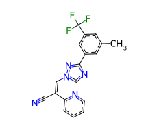 Cc1cc(-c2ncn(/C=C(/C#N)c3ccccn3)n2)cc(C(F)(F)F)c1